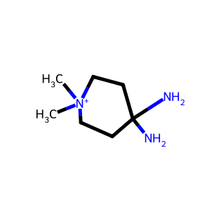 C[N+]1(C)CCC(N)(N)CC1